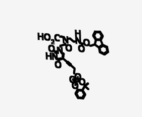 CC1(C)OP(=O)(OCCC#Cc2cn(CC(=O)N(CCNC(=O)OCC3c4ccccc4-c4ccccc43)CC(=O)O)c(=O)[nH]c2=O)Oc2ccccc21